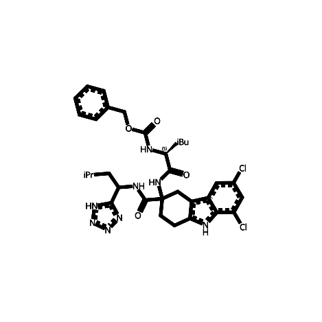 CCC(C)[C@H](NC(=O)OCc1ccccc1)C(=O)NC1(C(=O)NC(CC(C)C)c2nnn[nH]2)CCc2[nH]c3c(Cl)cc(Cl)cc3c2C1